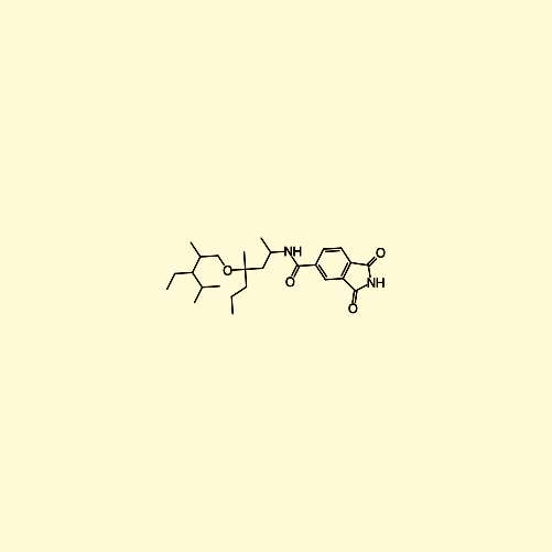 CCCC(C)(CC(C)NC(=O)c1ccc2c(c1)C(=O)NC2=O)OCC(C)C(CC)C(C)C